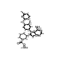 Cc1ccnc(Oc2ccc(-n3c(C4CCCN(C(=O)OC(C)(C)C)C4)cc4ncnc(N)c43)cc2F)n1